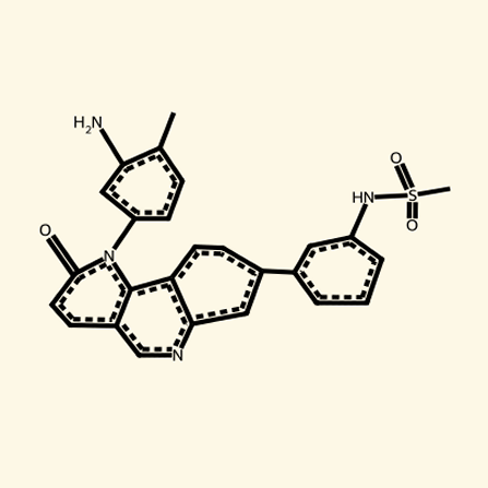 Cc1ccc(-n2c(=O)ccc3cnc4cc(-c5cccc(NS(C)(=O)=O)c5)ccc4c32)cc1N